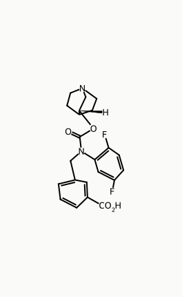 O=C(O)c1cccc(CN(C(=O)O[C@H]2CN3CCC2CC3)c2cc(F)ccc2F)c1